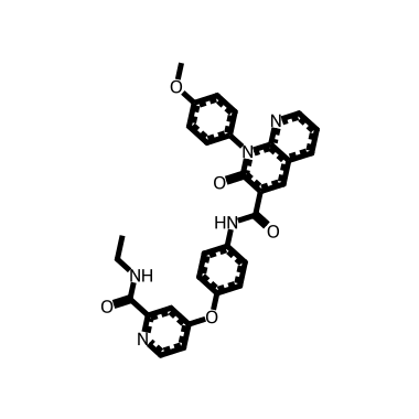 CCNC(=O)c1cc(Oc2ccc(NC(=O)c3cc4cccnc4n(-c4ccc(OC)cc4)c3=O)cc2)ccn1